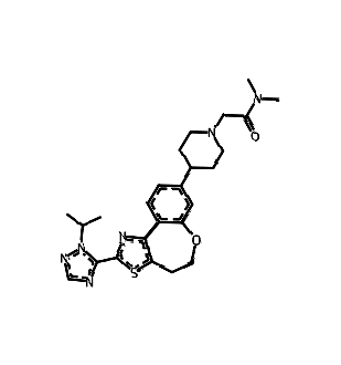 CC(C)n1ncnc1-c1nc2c(s1)CCOc1cc(C3CCN(CC(=O)N(C)C)CC3)ccc1-2